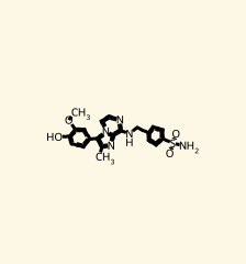 COc1cc(-c2c(C)nc3c(NCc4ccc(S(N)(=O)=O)cc4)nccn23)ccc1O